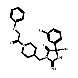 CCCCC1(c2cccc(Br)c2)NC(=N)N(CC2CCN(C(=O)COc3ccccc3)CC2)C1=O